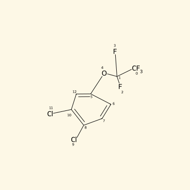 FC(F)(F)C(F)(F)Oc1ccc(Cl)c(Cl)c1